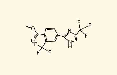 COC(=O)c1ccc(-c2nc(C(F)(F)F)c[nH]2)cc1C(F)(F)F